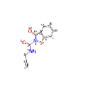 C#CCNC(=O)n1sc2ccccc2c1=O